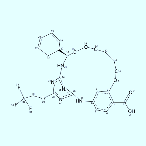 O=C(O)c1ccc2cc1OCCCCOC[C@H](C1C=CC=CC1)Nc1nc(nc(OCC(F)(F)F)n1)N2